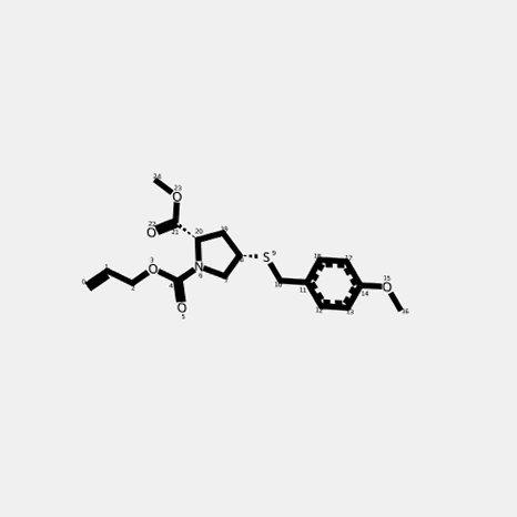 C=CCOC(=O)N1C[C@@H](SCc2ccc(OC)cc2)C[C@H]1C(=O)OC